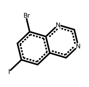 Brc1cc(I)cc2cncnc12